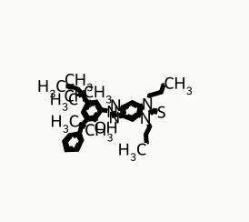 CCCCn1c(=S)n(CCCC)c2cc3nn(-c4cc(C(C)(C)CC(C)(C)C)cc(C(C)(C)c5ccccc5)c4O)nc3cc21